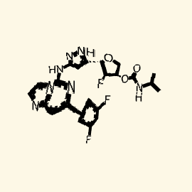 CC(C)NC(=O)O[C@H]1CO[C@@H](c2cc(Nc3nc(-c4cc(F)cc(F)c4)cc4nccn34)n[nH]2)[C@@H]1F